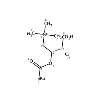 CCCCC(=O)O[C@@H](CC(=O)O)C[N+](C)(C)C.[Cl-]